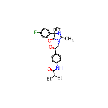 CCCC1(c2ccc(F)cc2)N=C(C)N(CC(=O)c2ccc(NC(=O)C(CC)CC)cc2)C1=O